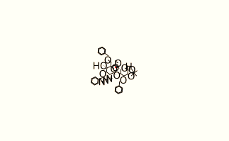 COC(=O)[C@@H]1O[C@@H]2OC(C)(C)OC2C(OCc2ccccc2)[C@@H]1O[C@H]1OC(COCc2ccccc2)[C@@H](O)[C@@H](OCc2ccccc2)C1N=[N+]=[N-]